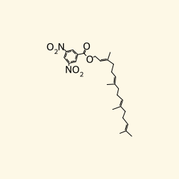 CC(C)=CCC/C(C)=C/CC/C(C)=C/CC/C(C)=C/COC(=O)c1cc([N+](=O)[O-])cc([N+](=O)[O-])c1